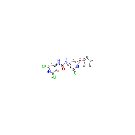 O=C(Nc1cc(Cl)nc(Cl)c1)Nc1cc(Cl)nc(OC2CCCC2)c1